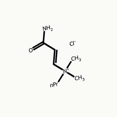 CCC[N+](C)(C)C=CC(N)=O.[Cl-]